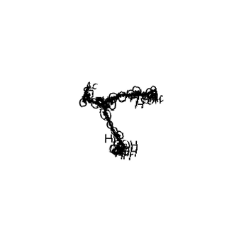 CC(=O)CSC1CC(=O)N(CCOc2ccc3c(c2)c(C(=O)OCCOCCOCC(=O)NCC2OC4OCCN(C(C)C)[C@@H]4[C@@H](O)[C@H]2O)cn3CC(=O)OCCOCCOCC(=O)NCC2OC3OCCN(C(C)=O)[C@@H]3[C@@H](O)[C@H]2O)C1=O